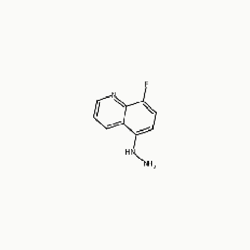 NNc1ccc(F)c2ncccc12